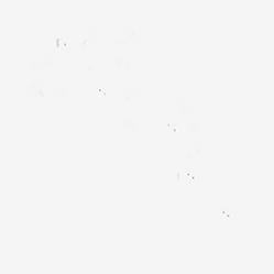 CN(C)CCNC(=O)CN(c1ccc(NC(=C2C(=O)Nc3ccccc32)c2ccccc2)cc1)S(C)(=O)=O